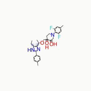 C/C=c1/[nH]c(-c2ccc(C)cc2)n/c1=C(/C)OC[C@]1(O)CCN(c2c(F)cc(C)cc2F)C[C@H]1O